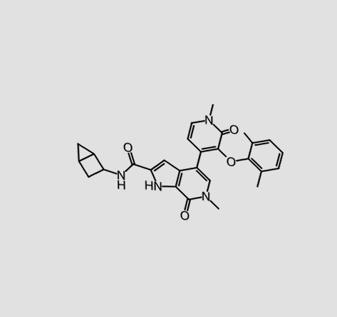 Cc1cccc(C)c1Oc1c(-c2cn(C)c(=O)c3[nH]c(C(=O)NC4CC5CC54)cc23)ccn(C)c1=O